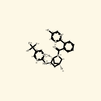 O=C(c1ccccc1-c1ncc(F)cn1)N1C[C@H]2C[C@@H](Nc3ncc(C(F)(F)F)cn3)[C@@H]1C2